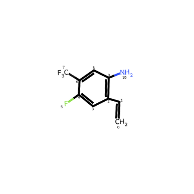 C=Cc1cc(F)c(C(F)(F)F)cc1N